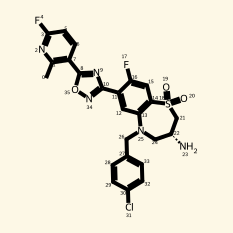 Cc1nc(F)ccc1-c1nc(-c2cc3c(cc2F)S(=O)(=O)C[C@H](N)CN3Cc2ccc(Cl)cc2)no1